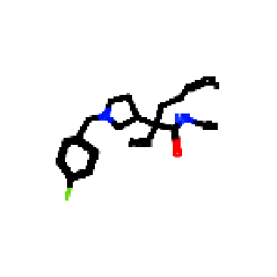 C=CCCC(NC(C)=O)(C(=O)NC(C)(C)C)C1CCN(Cc2ccc(F)cc2)C1